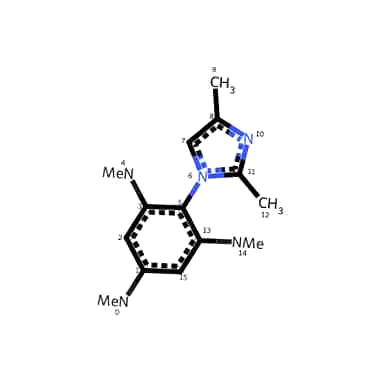 CNc1cc(NC)c(-n2cc(C)nc2C)c(NC)c1